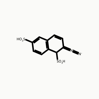 [N-]=[N+]=C1C=Cc2cc(S(=O)(=O)O)ccc2C1S(=O)(=O)O